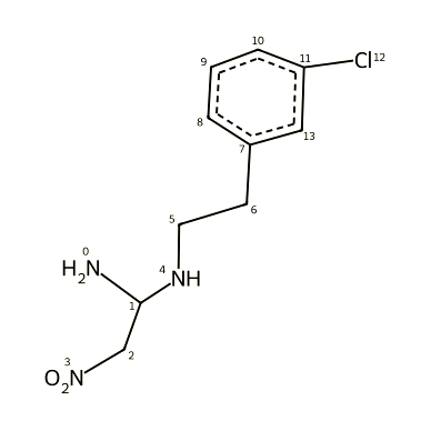 NC(C[N+](=O)[O-])NCCc1cccc(Cl)c1